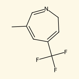 CC1=CC(C(F)(F)F)=CCN=C1